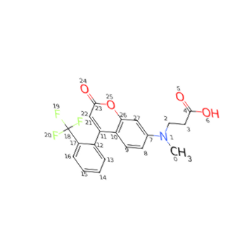 CN(CCC(=O)O)c1ccc2c(-c3ccccc3C(F)(F)F)cc(=O)oc2c1